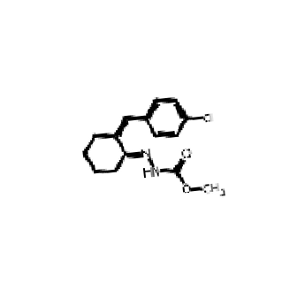 COC(=O)NN=C1CCCCC1=Cc1ccc(Cl)cc1